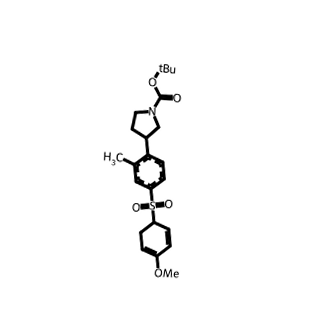 COC1=CCC(S(=O)(=O)c2ccc(C3CCN(C(=O)OC(C)(C)C)C3)c(C)c2)C=C1